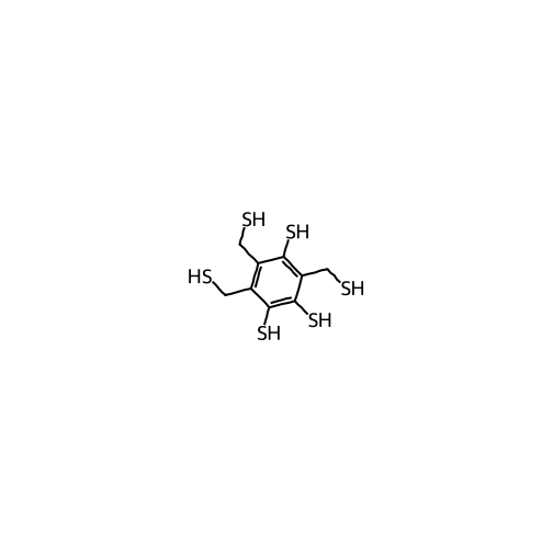 SCc1c(S)c(S)c(CS)c(CS)c1S